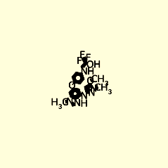 COc1cc(Nc2cc(O[C@H]3CC[C@@H](NC[C@@H](O)C(F)(F)F)CC3)cc3c2ncn3C)nn1C